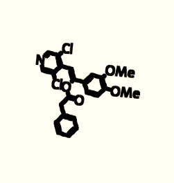 COc1ccc(C(=Cc2c(Cl)cncc2Cl)OC(=O)Cc2ccccc2)cc1OC